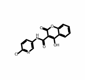 O=C(Nc1ccc(Cl)nc1)c1c(O)c2ccccc2oc1=O